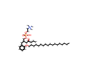 CCCCCCCCCCCCCCCCCCOc1ccccc1CC(COP(=O)(O)OCC[N+](C)(C)C)CC(=O)CCC